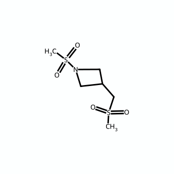 CS(=O)(=O)CC1CN(S(C)(=O)=O)C1